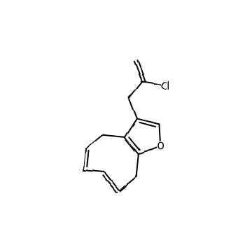 C=C(Cl)Cc1coc2c1C/C=C\C=C\C2